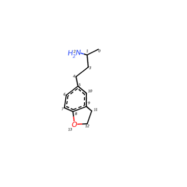 CC(N)CCc1ccc2c(c1)CCO2